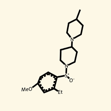 CCc1cc(OC)ccc1[S+]([O-])N1CCC(N2CCC(C)CC2)CC1